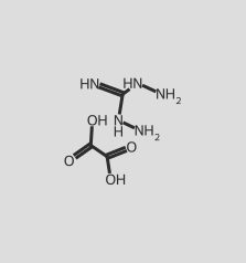 N=C(NN)NN.O=C(O)C(=O)O